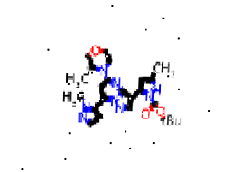 Cc1cc(-c2cnn3c(-c4ccnn4C)cc(N4CCOC[C@H]4C)nc23)n(C(=O)OC(C)(C)C)n1